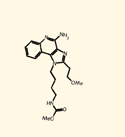 COCCc1nc2c(N)nc3ccccc3c2n1CCCCNC(=O)OC